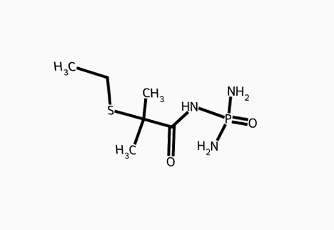 CCSC(C)(C)C(=O)NP(N)(N)=O